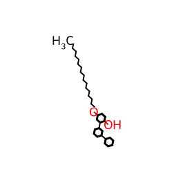 CCCCCCCCCCCCCCCCCCOc1ccc(O)c(-c2cccc(-c3ccccc3)c2)c1